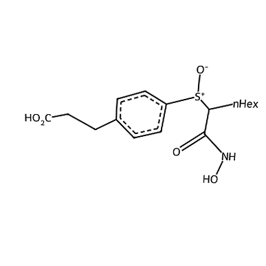 CCCCCCC(C(=O)NO)[S+]([O-])c1ccc(CCC(=O)O)cc1